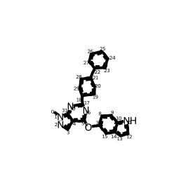 Cn1ncc2c(Oc3ccc4[nH]ccc4c3)nc(-c3ccc(-c4ccccc4)cc3)nc21